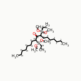 CCCCCCCC(C(=O)C(CCCCCCC)[Si](CC)(OC)OC)[Si](CC)(OC)OC